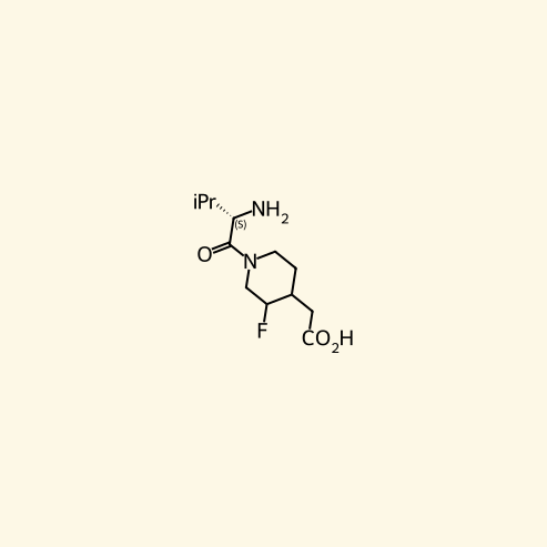 CC(C)[C@H](N)C(=O)N1CCC(CC(=O)O)C(F)C1